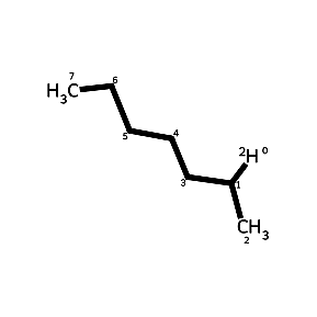 [2H]C(C)CCCCC